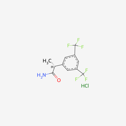 C[C@@H](C(N)=O)c1cc(C(F)(F)F)cc(C(F)(F)F)c1.Cl